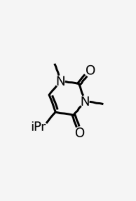 CC(C)c1cn(C)c(=O)n(C)c1=O